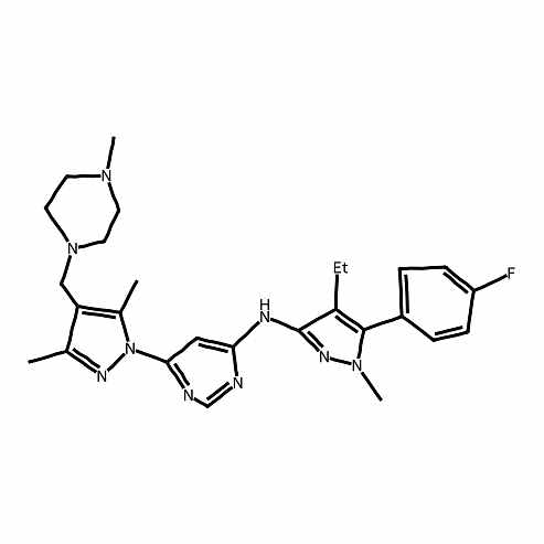 CCc1c(Nc2cc(-n3nc(C)c(CN4CCN(C)CC4)c3C)ncn2)nn(C)c1-c1ccc(F)cc1